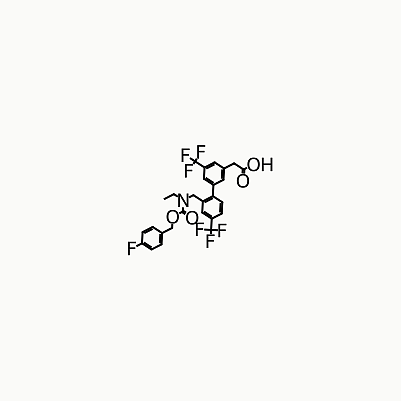 CCN(Cc1cc(C(F)(F)F)ccc1-c1cc(CC(=O)O)cc(C(F)(F)F)c1)C(=O)OCc1ccc(F)cc1